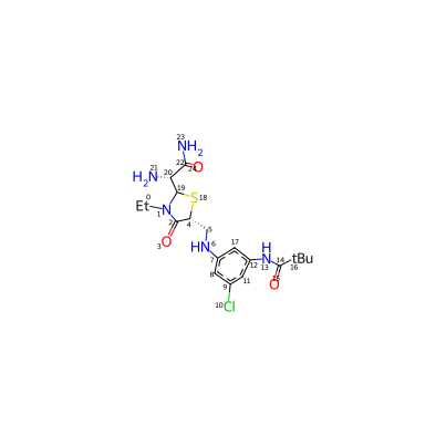 CCN1C(=O)[C@@H](CNc2cc(Cl)cc(NC(=O)C(C)(C)C)c2)SC1[C@H](N)C(N)=O